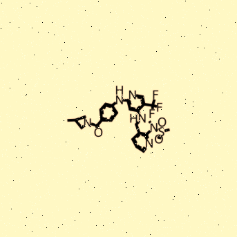 CC1CN(C(=O)c2ccc(Nc3cc(NCc4cccnc4N(C)S(C)(=O)=O)c(C(F)(F)F)cn3)cc2)C1